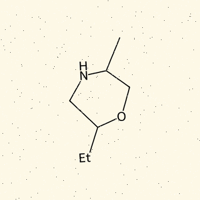 CCC1CNC(C)CO1